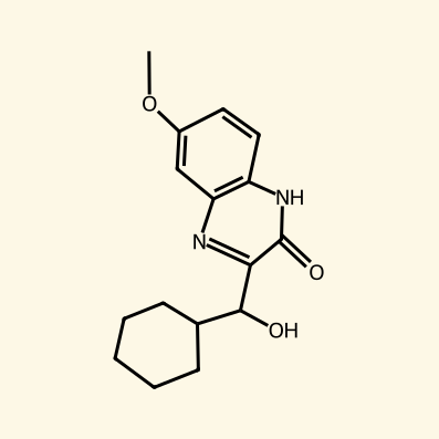 COc1ccc2[nH]c(=O)c(C(O)C3CCCCC3)nc2c1